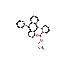 CCOC(=O)c1ccccc1-c1c2ccccc2c(-c2ccccc2)c2ccccc12